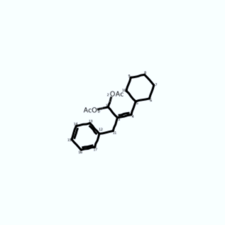 CC(=O)OC(OC(C)=O)C(=CC1CCCCC1)Cc1ccccc1